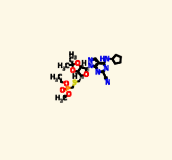 CCOP(=O)(CSC[C@H]1O[C@@H](n2ncc3c(NC4CCCC4)nc(C#N)nc32)[C@@H]2OC(C)(C)O[C@@H]21)OC